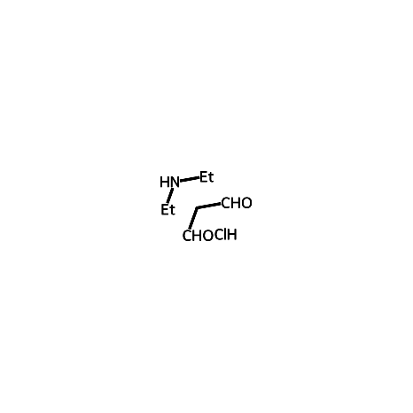 CCNCC.Cl.O=CCC=O